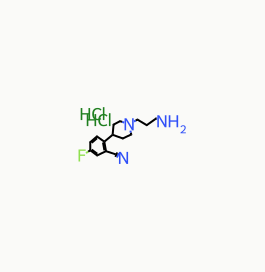 Cl.Cl.N#Cc1cc(F)ccc1C1CCN(CCCN)CC1